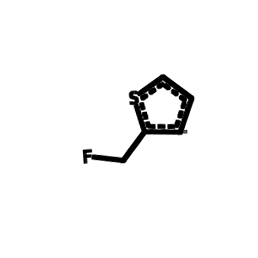 FCc1[c]ccs1